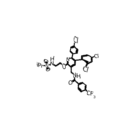 CC(C)S(=O)(=O)NCCOc1nc(-c2ccc(Cl)cc2)c(-c2ccc(Cl)cc2Cl)cc1CNC(=O)c1ccc(C(F)(F)F)cc1